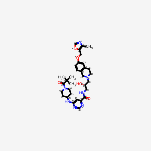 Cc1ncoc1COc1ccc2c(c1)CCN(C[C@@H](O)CNC(=O)c1cc(NC3CCN(C(=O)C(C)(C)C)CC3)ncn1)C2